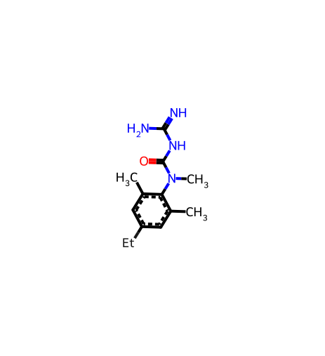 CCc1cc(C)c(N(C)C(=O)NC(=N)N)c(C)c1